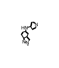 Cn1cc2cc(Nc3ccncc3)ccc2n1